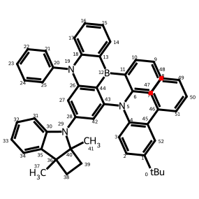 CC(C)(C)c1ccc(N2c3ccccc3B3c4ccccc4N(c4ccccc4)c4cc(N5c6ccccc6C6(C)CCC56C)cc2c43)c(-c2ccccc2)c1